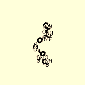 Cn1c(=O)n(C2CCC(=O)NC2=O)c2cccc(CC[C@H]3CN(C[C@H]4CC[C@H](n5cc(NC(=O)c6cnn7cccnc67)c(C(F)F)n5)CC4)CCO3)c21